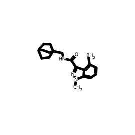 Bc1cccc2c1c(C(=O)NCC13CCC(CC1)CC3)nn2C